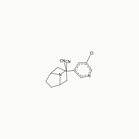 N#CCN1C2CCC1CC(C#N)(c1cncc(Cl)c1)C2